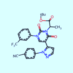 CC(C(=O)OC(C)(C)C)n1c(=O)c(-c2ccnn2-c2ccc(C#N)cc2)cn(-c2cccc(C(F)(F)F)c2)c1=O